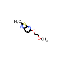 COCCOc1ccc2nc(C)sc2n1